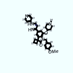 COc1ccc(CN2C(=O)C3(CCC3)c3cc(C(=N)/C=C\Nc4ccncc4)cc(OC4CCN(C)CC4)c32)cc1